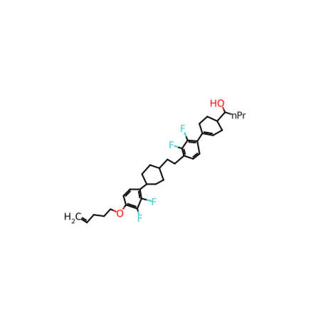 C=CCCCOc1ccc(C2CCC(CCc3ccc(C4=CCC(C(O)CCC)CC4)c(F)c3F)CC2)c(F)c1F